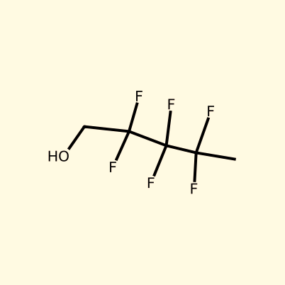 CC(F)(F)C(F)(F)C(F)(F)CO